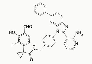 Nc1ncccc1-c1nc2ccc(-c3ccccc3)nc2n1-c1ccc(CNC(=O)C2(c3ccc(C=O)c(O)c3F)CC2)cc1